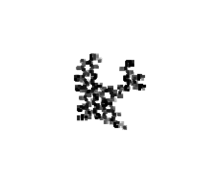 CCCn1c(=O)c2c(n(C(O)c3ccc(C)cc3)c1=O)N(c1ccc(CCOP(OCCC#N)N(C(C)C)C(C)C)cc1)c1[nH]c(=O)n(C(=O)c3ccc(C)cc3)c(=O)c1C2